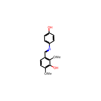 COc1ccc(C=Nc2ccc(O)cc2)c(OC)c1O